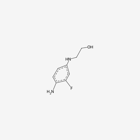 Nc1ccc(NCCO)cc1F